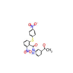 CC(=O)c1cccc(NC(=O)c2c(Sc3ccc([N+](=O)[O-])cc3)cccc2[N+](=O)[O-])c1